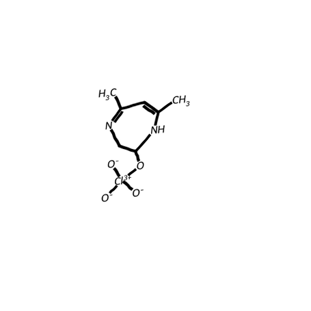 CC1=CC(C)=NCC(O[Cl+3]([O-])([O-])[O-])N1